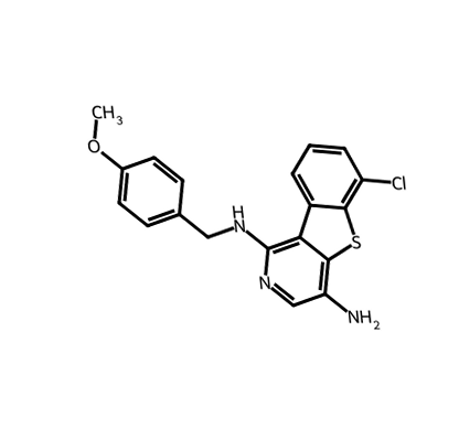 COc1ccc(CNc2ncc(N)c3sc4c(Cl)cccc4c23)cc1